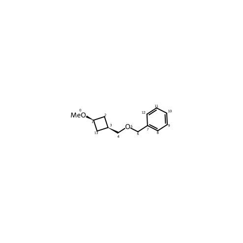 CO[C@H]1C[C@@H](COCc2ccccc2)C1